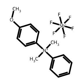 COc1ccc([N+](C)(C)c2ccccc2)cc1.[F][Sb-]([F])([F])([F])([F])[F]